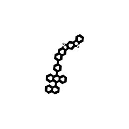 c1ccc2c(-c3c4ccccc4c(-c4ccc(-c5ccc6cc7sc8cc9c(cc8c7cc6c5)sc5ccccc59)cc4)c4ccccc34)cccc2c1